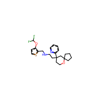 FC(F)Oc1ccsc1CNCCC1(c2ccccn2)CCOC2(CCCC2)C1